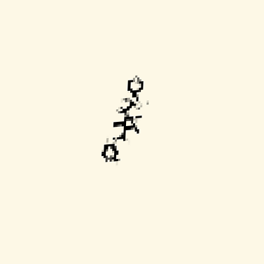 Cc1c(C(=O)Nc2ccnc(F)c2)c(C)n(C)c1C(=O)C(=O)NC1(C(F)(F)F)CCOCC1